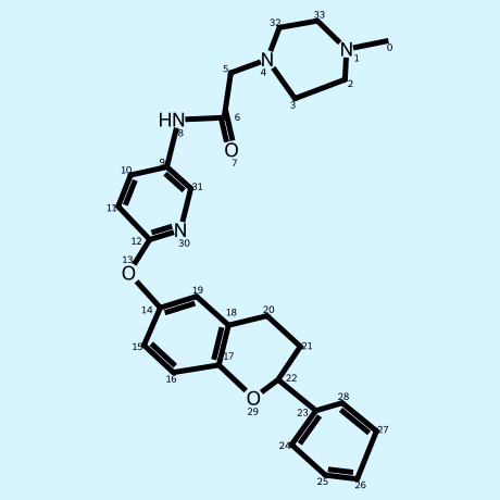 CN1CCN(CC(=O)Nc2ccc(Oc3ccc4c(c3)CCC(c3ccccc3)O4)nc2)CC1